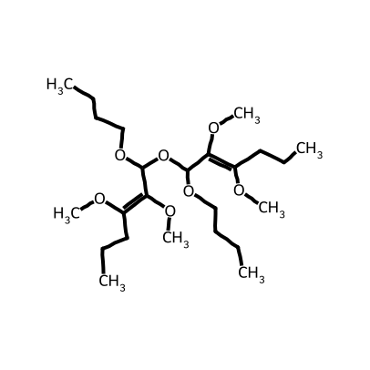 CCCCOC(OC(OCCCC)C(OC)=C(CCC)OC)C(OC)=C(CCC)OC